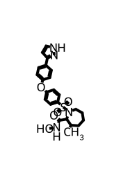 CC1CCCCN(S(=O)(=O)c2ccc(Oc3ccc(-c4cc[nH]n4)cc3)cc2)C1C(=O)NO